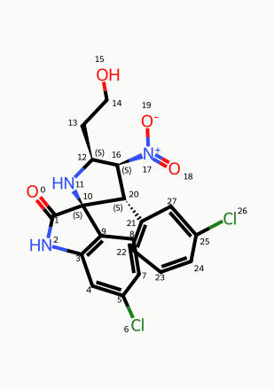 O=C1Nc2cc(Cl)ccc2[C@]12N[C@@H](CCO)[C@@H]([N+](=O)[O-])[C@@H]2c1cccc(Cl)c1